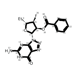 CC[C@H]1O[C@@H](n2nnc3c(=O)[nH]c(N)nc32)[C@H](OC(=O)c2ccccc2)[C@@H]1F